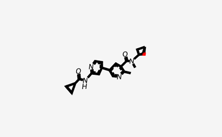 Cc1ncc(-c2ccnc(NC(=O)C3CC3)c2)cc1C(=O)N(C)C12CC(C1)C2